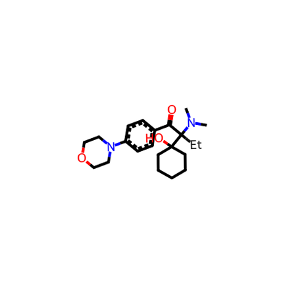 CCC(C(=O)c1ccc(N2CCOCC2)cc1)(N(C)C)C1(O)CCCCC1